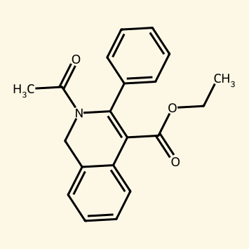 CCOC(=O)C1=C(c2ccccc2)N(C(C)=O)Cc2ccccc21